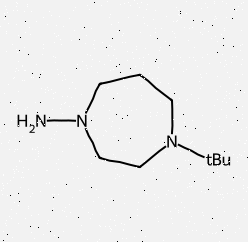 CC(C)(C)N1CCCN(N)CC1